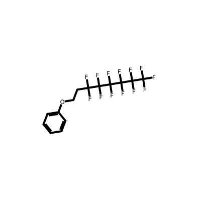 FC(F)(F)C(F)(F)C(F)(F)C(F)(F)C(F)(F)C(F)(F)CCOc1[c]cccc1